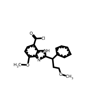 COCCC(c1ccccc1)c1nc2c(OC)ccc(C(=O)Cl)c2[nH]1